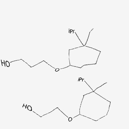 CC(C)C1(C)CCCC(OCCCO)C1.CC(C)C1(C)CCCC(OCCO)C1